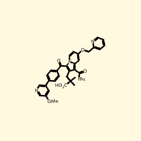 COc1cncc(-c2ccc(C(=O)c3c(CC(C)(C)C(=O)O)c(C(=O)C(C)(C)C)c4cc(OCc5ccccn5)ccn34)cc2)c1